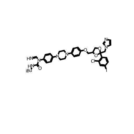 CCC(C)NC(=O)N(C=N)c1ccc(N2CCN(c3ccc(OCC4COC(Cn5ccnc5)(c5ccc(I)cc5Cl)O4)cc3)CC2)cc1